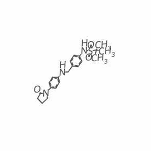 CC(C)(C)S(=O)(=O)Nc1ccc(CNc2ccc(N3CCCC3=O)cc2)cc1